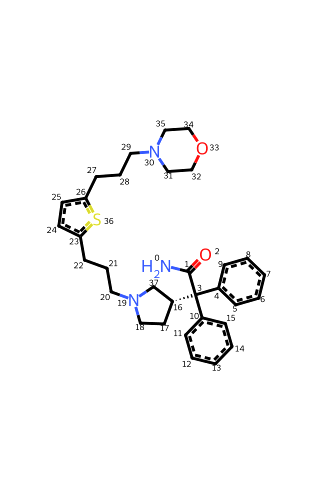 NC(=O)C(c1ccccc1)(c1ccccc1)[C@@H]1CCN(CCCc2ccc(CCCN3CCOCC3)s2)C1